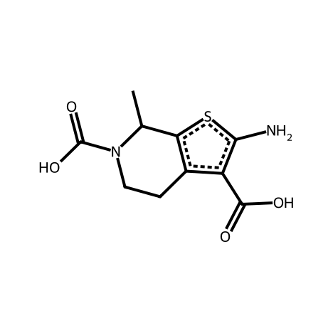 CC1c2sc(N)c(C(=O)O)c2CCN1C(=O)O